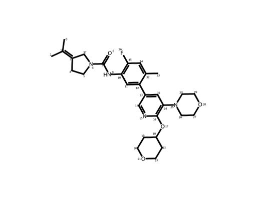 CC(C)=C1CCN(C(=O)Nc2cc(-c3cnc(OC4CCOCC4)c(N4CCOCC4)c3)c(C)cc2F)C1